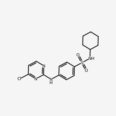 O=S(=O)(NC1CCCCC1)c1ccc(Nc2nccc(Cl)n2)cc1